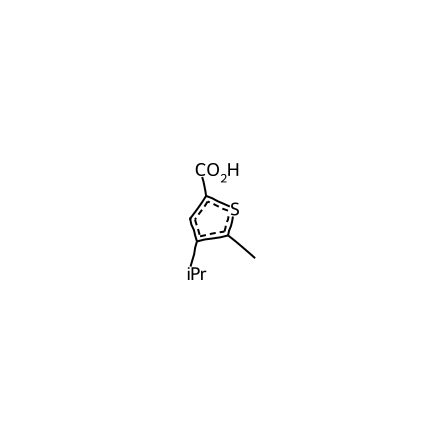 Cc1sc(C(=O)O)cc1C(C)C